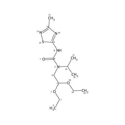 CCOC(CN(C(=O)Nc1nc(C)ns1)C(C)C)OCC